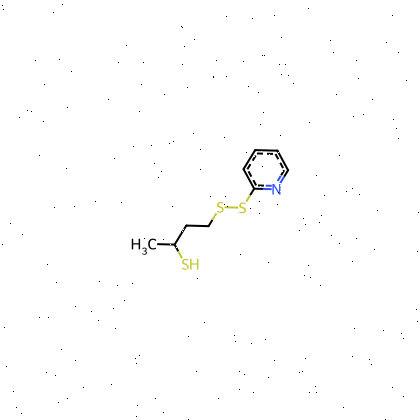 CC(S)CCSSc1ccccn1